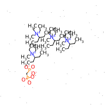 CCC(CC)[N+](C)(CC)CC.CCC(CC)[N+](C)(CC)CC.CCC(CC)[N+](C)(CC)CC.CCC(CC)[N+](C)(CC)CC.O=P([O-])([O-])CP(=O)([O-])[O-]